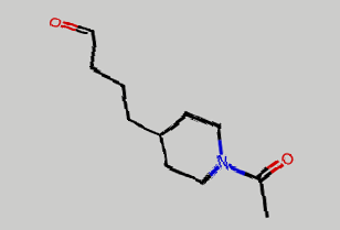 CC(=O)N1CCC(CCCC=O)CC1